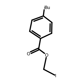 CCC(C)c1ccc(C(=O)OCI)cc1